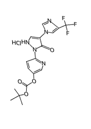 CC(C)(C)OC(=O)Oc1ccc(-n2[nH]cc(-n3cnc(C(F)(F)F)c3)c2=O)nc1.Cl